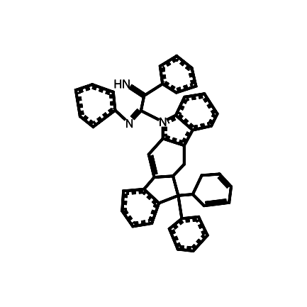 N=C(/C(=N\c1ccccc1)n1c2c(c3ccccc31)CC1C(=C2)c2ccccc2C1(c1ccccc1)C1C=CC=CC1)c1ccccc1